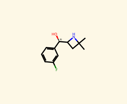 CC1(C)CC([C@H](O)c2cccc(F)c2)N1